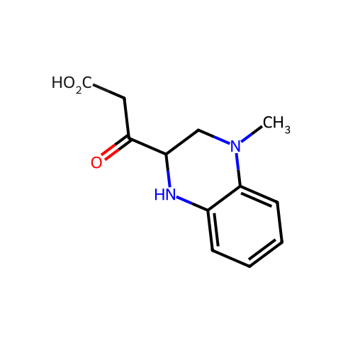 CN1CC(C(=O)CC(=O)O)Nc2ccccc21